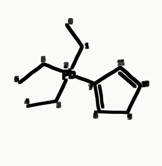 C[CH2][Pb]([CH2]C)([CH2]C)[C]1=[C]CC=C1